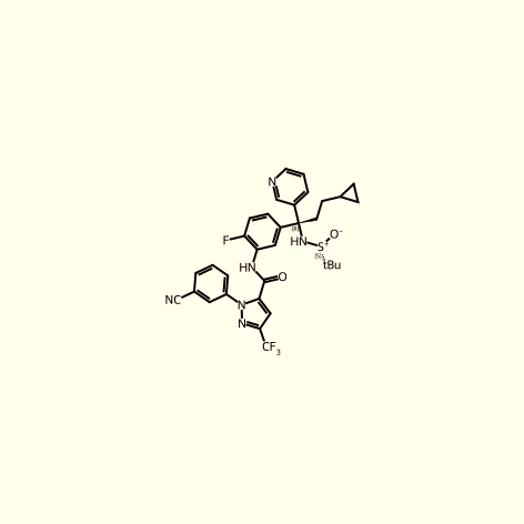 CC(C)(C)[S@@+]([O-])N[C@@](CCC1CC1)(c1cccnc1)c1ccc(F)c(NC(=O)c2cc(C(F)(F)F)nn2-c2cccc(C#N)c2)c1